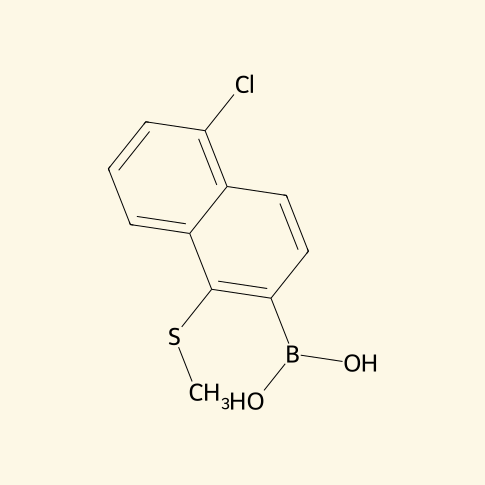 CSc1c(B(O)O)ccc2c(Cl)cccc12